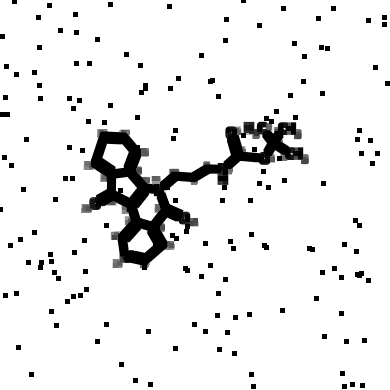 CC(C)(C)OC(=O)NCCCn1c2c(c3cnccc3c1=O)C(=O)c1ccccc1-2